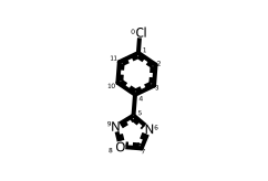 Clc1ccc(-c2ncon2)cc1